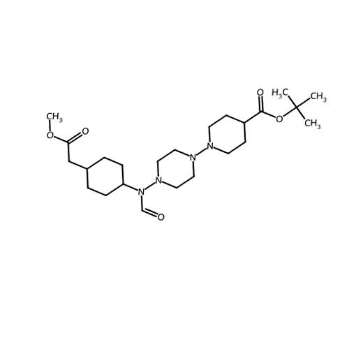 COC(=O)CC1CCC(N(C=O)N2CCN(N3CCC(C(=O)OC(C)(C)C)CC3)CC2)CC1